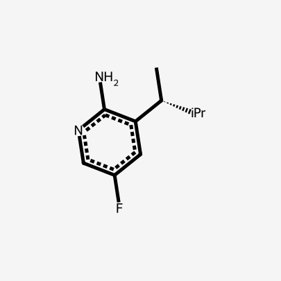 CC(C)[C@@H](C)c1cc(F)cnc1N